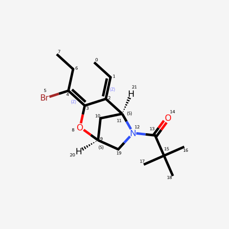 C/C=C1\C(=C(\Br)CC)O[C@H]2C[C@@H]1N(C(=O)C(C)(C)C)C2